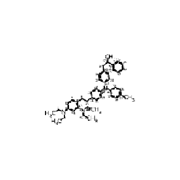 CCN(CC)c1ccc(CCc2ccc(N(c3ccc(C)cc3)c3ccc(CC(C)c4ccccc4)cc3)cc2)c(N(CC)CC)c1